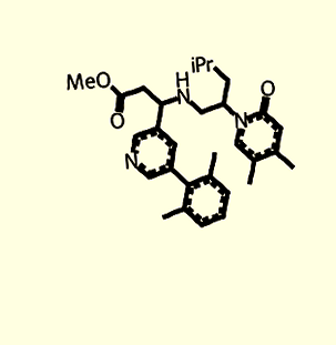 COC(=O)CC(NCC(CC(C)C)n1cc(C)c(C)cc1=O)c1cncc(-c2c(C)cccc2C)c1